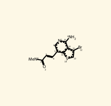 CNC(=O)C=Cc1cnc(N)c2c(Br)csc12